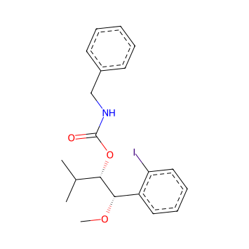 CO[C@@H](c1ccccc1I)[C@@H](OC(=O)NCc1ccccc1)C(C)C